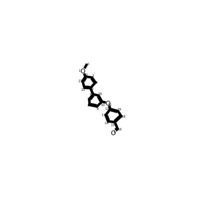 COc1ccc(-c2cccc(Oc3ccc(C=O)cc3)c2)cc1